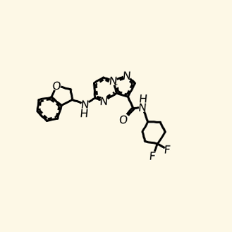 O=C(NC1CCC(F)(F)CC1)c1cnn2ccc(NC3COc4ccccc43)nc12